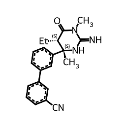 CC[C@@H]1C(=O)N(C)C(=N)N[C@]1(C)c1cccc(-c2cccc(C#N)c2)c1